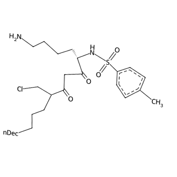 CCCCCCCCCCCCCC(CCl)C(=O)CC(=O)[C@H](CCCCN)NS(=O)(=O)c1ccc(C)cc1